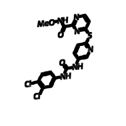 CONC(=O)c1nccc(Sc2ccc(NC(=O)Nc3ccc(Cl)c(Cl)c3)cn2)n1